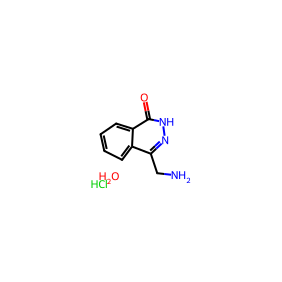 Cl.NCc1n[nH]c(=O)c2ccccc12.O